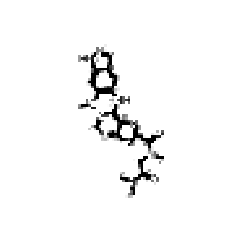 COc1cc2[nH]ncc2cc1Nc1ncnc2sc(C(=O)N(C)CC(=O)N(C)C)nc12